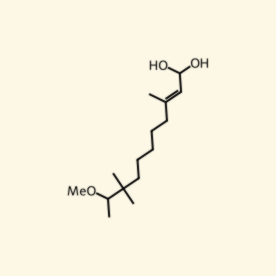 COC(C)C(C)(C)CCCCC/C(C)=C/C(O)O